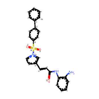 Nc1ccccc1NC(=O)C=Cc1ccn(S(=O)(=O)c2ccc(-c3ccccc3)cc2)c1